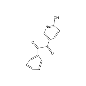 O=C(C(=O)c1ccc(O)nc1)c1ccccc1